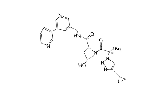 CC(C)(C)[C@@H](C(=O)N1CC(O)CC1C(=O)NCc1cncc(-c2cccnc2)c1)n1cc(C2CC2)nn1